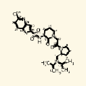 CC(C)N(C[C@@H]1CCCN1C(=O)CN1CCC[C@H](NS(=O)(=O)c2cc3nc(Cl)ccc3s2)C1=O)C(C)C